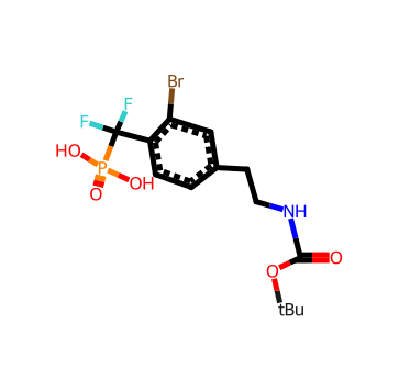 CC(C)(C)OC(=O)NCCc1ccc(C(F)(F)P(=O)(O)O)c(Br)c1